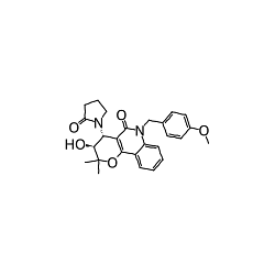 COc1ccc(Cn2c(=O)c3c(c4ccccc42)OC(C)(C)[C@@H](O)[C@@H]3N2CCCC2=O)cc1